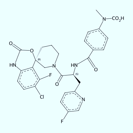 CN(C(=O)O)c1ccc(C(=O)N[C@@H](Cc2ccc(F)cn2)C(=O)N2CCC[C@@]3(C2)OC(=O)Nc2ccc(Cl)c(F)c23)cc1